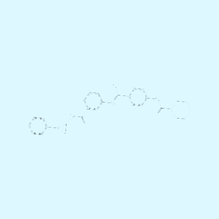 N/C(=N\c1cccc(C(=O)NC2CC2c2ccccc2)c1)c1ccc(NC(=O)C2CCCCC2)cc1